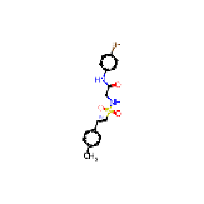 Cc1ccc(/C=C/S(=O)(=O)NCC(=O)Nc2ccc(Br)cc2)cc1